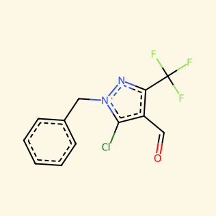 O=Cc1c(C(F)(F)F)nn(Cc2ccccc2)c1Cl